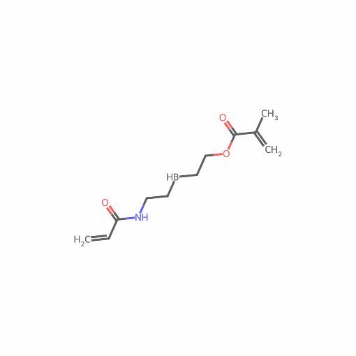 C=CC(=O)NCCBCCOC(=O)C(=C)C